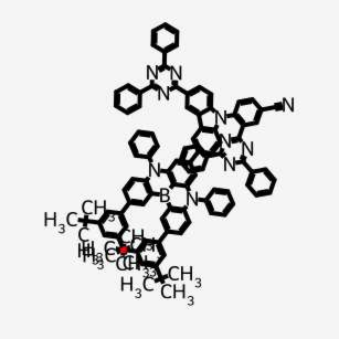 CC(C)(C)c1cc(-c2ccc3c(c2)B2c4cc(-c5cc(C(C)(C)C)cc(C(C)(C)C)c5)ccc4N(c4ccccc4)c4cc(-c5ccc6c(c5)c5cc(-c7nc(-c8ccccc8)nc(-c8ccccc8)n7)ccc5n6-c5ccc(C#N)cc5-c5nc(-c6ccccc6)nc(-c6ccccc6)n5)cc(c42)N3c2ccccc2)cc(C(C)(C)C)c1